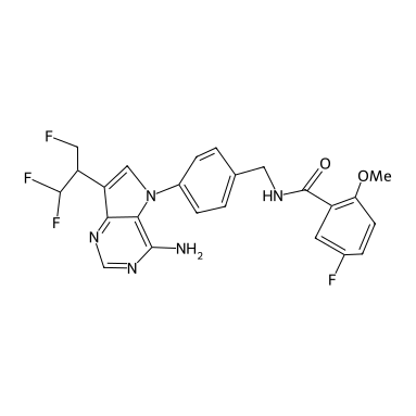 COc1ccc(F)cc1C(=O)NCc1ccc(-n2cc(C(CF)C(F)F)c3ncnc(N)c32)cc1